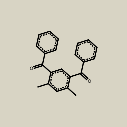 Cc1cc(C)c(C(=O)c2ccccc2)cc1C(=O)c1ccccc1